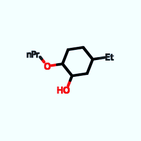 CCCOC1CCC(CC)CC1O